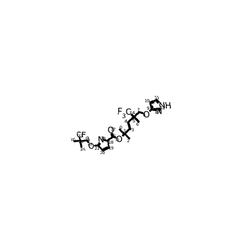 CC(C)(CCC(C)(COc1cc[nH]n1)C(F)(F)F)OC(=O)C1C=CC(OCC(C)(C)C(F)(F)F)=N1